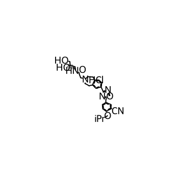 CC(C)Oc1ccc(-c2nc(-c3ccc4c(c3)CCN(CC(=O)NC[C@H](O)CO)CC4)no2)cc1C#N.Cl